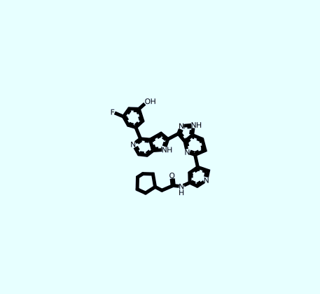 O=C(CC1CCCCC1)Nc1cncc(-c2ccc3[nH]nc(-c4cc5c(-c6cc(O)cc(F)c6)nccc5[nH]4)c3n2)c1